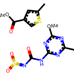 COC(=O)c1csc(C)c1.COc1nc(C)nc(NC(=O)N=S(=O)=O)n1